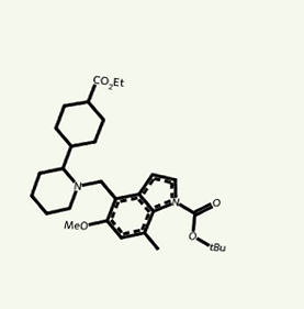 CCOC(=O)C1CCC(C2CCCCN2Cc2c(OC)cc(C)c3c2ccn3C(=O)OC(C)(C)C)CC1